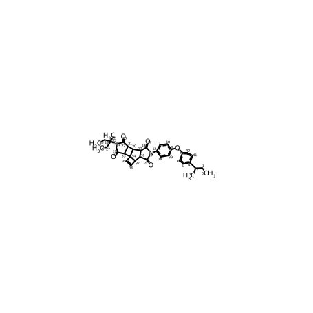 CCC(C)c1ccc(Oc2ccc(N3C(=O)C4C(C3=O)C3C5C(=O)N(C(C)(CC)CC)C(=O)C5C35C=CC45)cc2)cc1